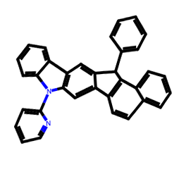 c1ccc(C2c3cc4c5ccccc5n(-c5ccccn5)c4cc3-c3ccc4ccccc4c32)cc1